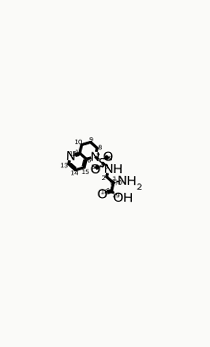 N[C@@H](CNS(=O)(=O)N1CCCc2ncccc21)C(=O)O